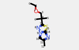 CCOCC(C)(C)c1nn2cc(C)nc2s1